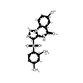 Cc1ccc(S(=O)(=O)c2nnn3c2[nH]c(=O)c2cc(Cl)ccc23)c(C)c1